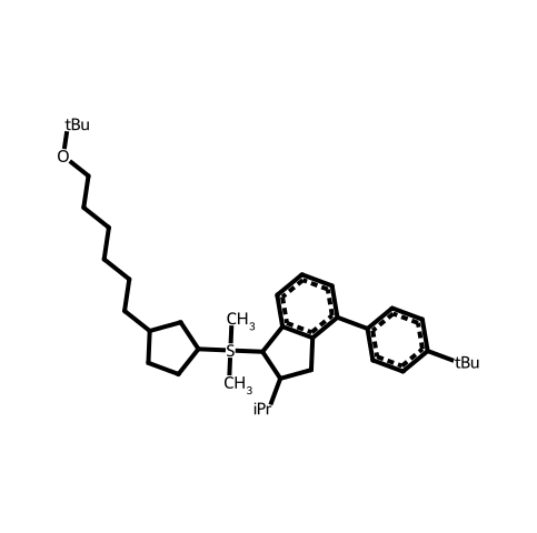 CC(C)C1Cc2c(-c3ccc(C(C)(C)C)cc3)cccc2C1S(C)(C)C1CCC(CCCCCCOC(C)(C)C)C1